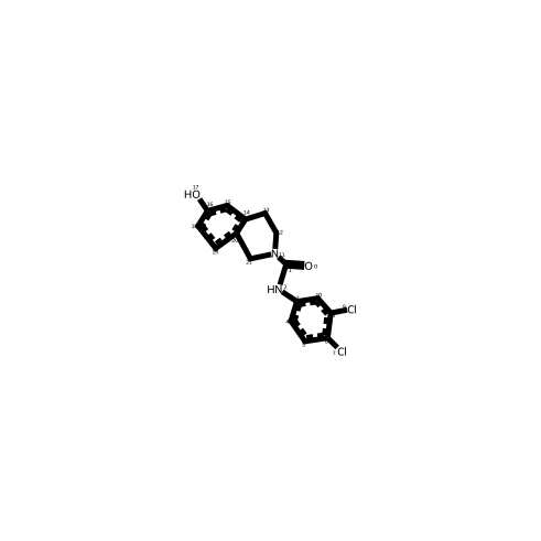 O=C(Nc1ccc(Cl)c(Cl)c1)N1CCc2cc(O)ccc2C1